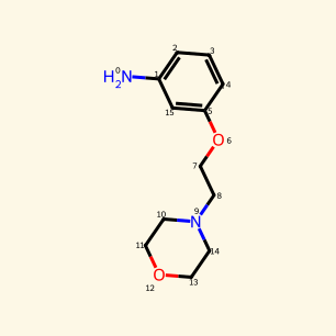 Nc1cc[c]c(OCCN2CCOCC2)c1